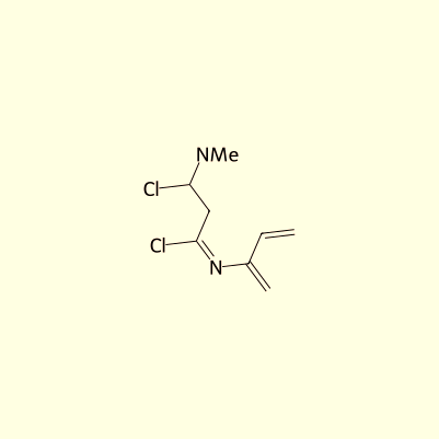 C=CC(=C)/N=C(/Cl)CC(Cl)NC